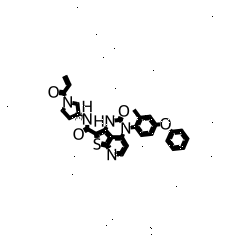 C=CC(=O)N1CC[C@@H](NC(=O)c2sc3nccc4c3c2NC(=O)N4c2ccc(Oc3ccccc3)cc2C)C1